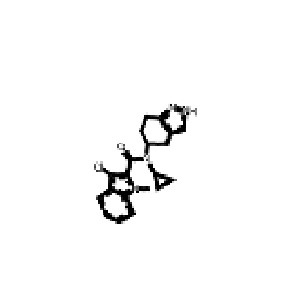 Cn1c(C(=O)N(C2CC2)C2CCc3n[nH]cc3C2)c(Cl)c2ccccc21